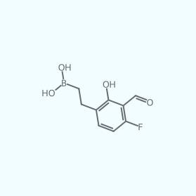 O=Cc1c(F)ccc(CCB(O)O)c1O